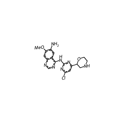 COc1cc2ncnc(Nc3nc(Cl)cc(C4CNCCO4)n3)c2cc1N